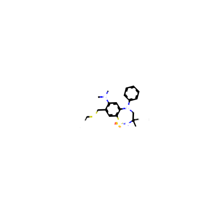 CCCCC1(C)CN(c2ccccc2)c2cc(N(C)C)c(CSCC(=O)O)cc2S(=O)(=O)N1